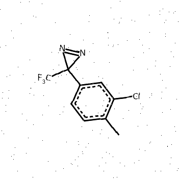 Cc1ccc(C2(C(F)(F)F)N=N2)cc1Cl